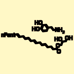 CCCCCC=CCC=CCC=CCC=CCCCC(=O)OCC(O)CO.NCCc1ccc(O)c(O)c1